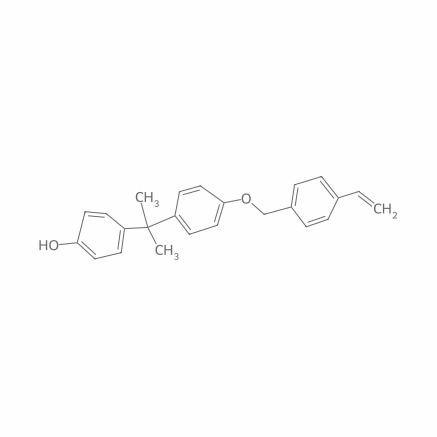 C=Cc1ccc(COc2ccc(C(C)(C)c3ccc(O)cc3)cc2)cc1